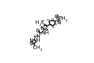 Cc1cc(CNC(=O)Nc2nc(C)c(-c3ccc(S(C)(=O)=O)cc3)s2)no1